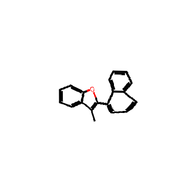 Cc1c(-c2cccc3ccccc23)oc2ccccc12